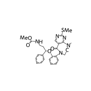 COC(=O)NCCC(Oc1ccccc1N1CCN(C)c2nc(SC)ncc2C1=O)c1ccccc1